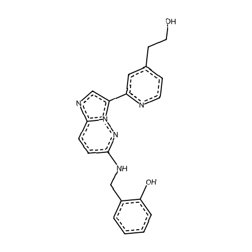 OCCc1ccnc(-c2cnc3ccc(NCc4ccccc4O)nn23)c1